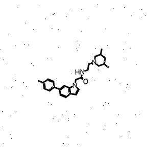 Cc1ccc(-c2ccc3ccn(CC(=O)NCCN4CC(C)CC(C)C4)c3c2)cc1